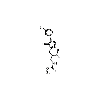 CC(C)(C)OC(=O)NCC(Cn1nnn(-c2cc(Br)cs2)c1=O)=C(F)F